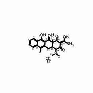 Cc1c2c(c(O)c3ccccc13)C(=O)C1(O)C(=O)/C(=C(/N)O)C(=O)C(N(C)C)C1C2.[Cl-].[H+]